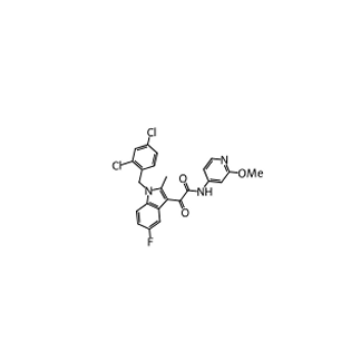 COc1cc(NC(=O)C(=O)c2c(C)n(Cc3ccc(Cl)cc3Cl)c3ccc(F)cc23)ccn1